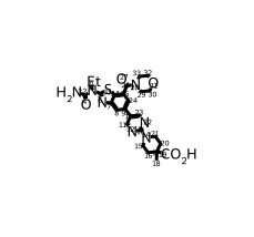 CCN(C(N)=O)c1nc2cc(-c3cnc(N4CCC(C)(C(=O)O)CC4)nc3)cc(C(=O)N3CCOCC3)c2s1